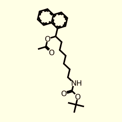 CC(=O)OC(CCCCCCNC(=O)OC(C)(C)C)c1cccc2ccccc12